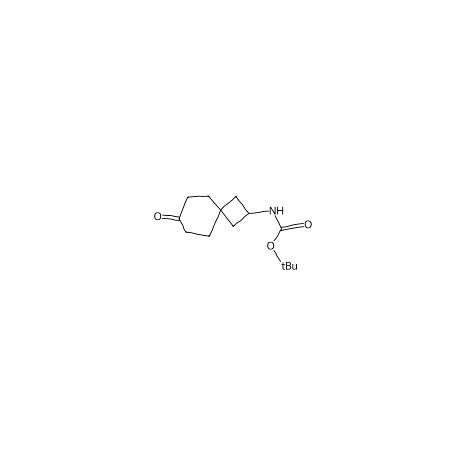 CC(C)(C)OC(=O)NC1CC2(CCC(=O)CC2)C1